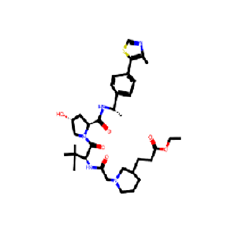 CCOC(=O)CCC1CCCN(CC(=O)N[C@H](C(=O)N2C[C@H](O)C[C@H]2C(=O)N[C@@H](C)c2ccc(-c3scnc3C)cc2)C(C)(C)C)C1